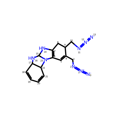 [N-]=[N+]=NCC1=CC2=C(CC1CN=[N+]=[N-])NC1NC3C=CC=CC3N21